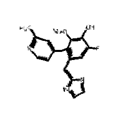 COc1c(O)c(F)cc(C=C2N=CC=N2)c1-c1ccnc(C)c1